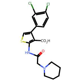 O=C(CN1CCCCC1)Nc1scc(-c2ccc(Cl)c(Cl)c2)c1C(=O)O